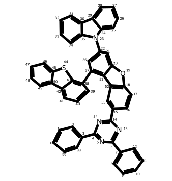 c1ccc(-c2nc(-c3ccccc3)nc(-c3ccc4oc5cc(-n6c7ccccc7c7ccccc76)cc(-c6cccc7c6sc6ccccc67)c5c4c3)n2)cc1